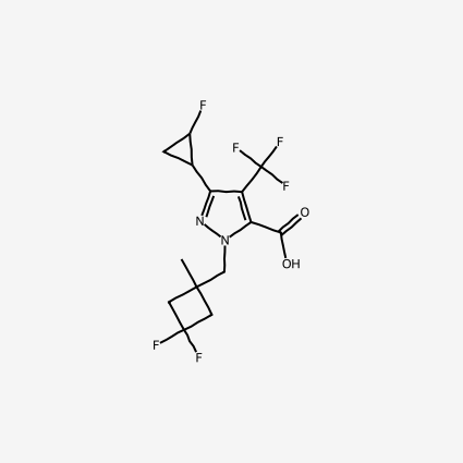 CC1(Cn2nc(C3CC3F)c(C(F)(F)F)c2C(=O)O)CC(F)(F)C1